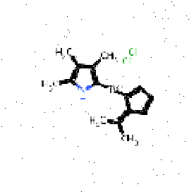 CC(C)=C1C=CC=[C]1[Ti+2][c]1[nH]c(C)c(C)c1C.[Cl-].[Cl-]